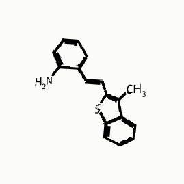 Cc1c(/C=C/c2ccccc2N)sc2ccccc12